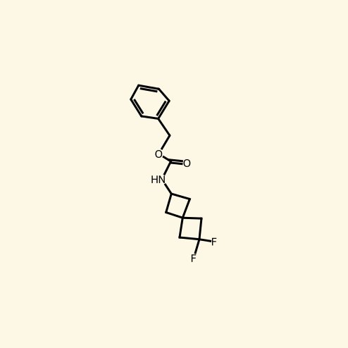 O=C(NC1CC2(C1)CC(F)(F)C2)OCc1ccccc1